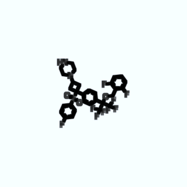 O=S(=O)(c1ccc(F)cc1)C1(c2ccc(C(OCc3c(F)cccc3F)(C(F)(F)F)C(F)(F)F)cc2)CC(N2CCNCC2)C1